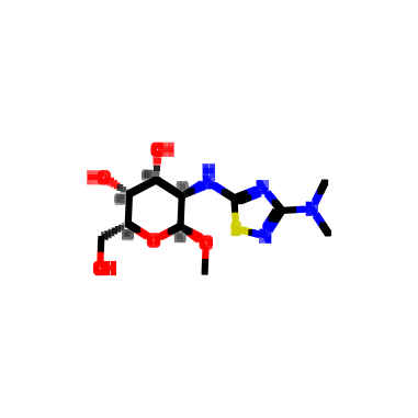 CO[C@H]1O[C@H](CO)[C@H](O)[C@H](O)[C@H]1Nc1nc(N(C)C)ns1